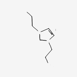 CCCN1C=CN(CCC)C1.I